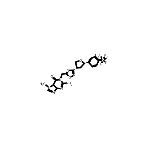 CN1C=NC2N=C(N)N(Cc3nc([C@@H]4CO[C@@H](c5ccc(S(C)(F)(F)(F)F)cc5)C4)no3)C(=O)C21